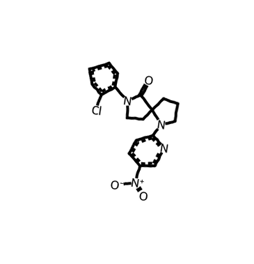 O=C1N(c2ccccc2Cl)CCC12CCCN2c1ccc([N+](=O)[O-])cn1